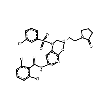 O=C(Nc1cnc2c(c1)N(S(=O)(=O)c1cccc(Cl)c1)C[C@H](CCN1CCCC1=O)O2)c1c(Cl)cccc1Cl